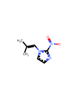 CC(C)=Cn1ccnc1[N+](=O)[O-]